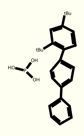 CC(C)(C)c1ccc(-c2ccc(-c3ccccc3)cc2)c(C(C)(C)C)c1.OP(O)O